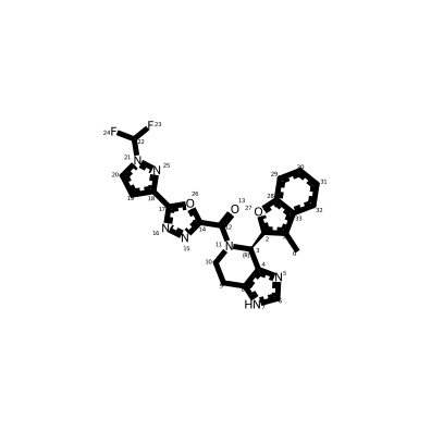 Cc1c([C@H]2c3nc[nH]c3CCN2C(=O)c2nnc(-c3ccn(C(F)F)n3)o2)oc2ccccc12